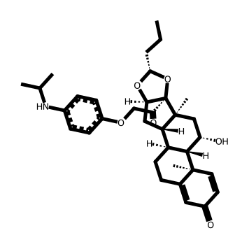 CCC[C@H]1O[C@@H]2C[C@H]3[C@@H]4CCC5=CC(=O)C=C[C@]5(C)[C@H]4[C@@H](O)C[C@]3(C)[C@]2(C(=O)COc2ccc(NC(C)C)cc2)O1